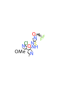 COc1cnc(Cl)cc1-c1cc(C)ncc1C(=O)Nc1nc2c(s1)CN(C(=O)[C@@H]1C[C@@H]1C(F)F)C2